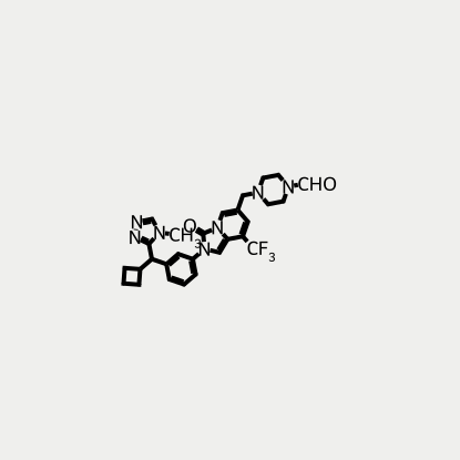 Cn1cnnc1C(c1cccc(-n2cc3c(C(F)(F)F)cc(CN4CCN(C=O)CC4)cn3c2=O)c1)C1CCC1